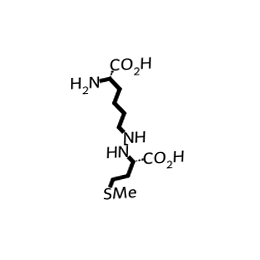 CSCC[C@H](NNCCCC[C@H](N)C(=O)O)C(=O)O